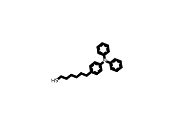 SCCCCCCc1ccc(N(c2ccccc2)c2ccccc2)cc1